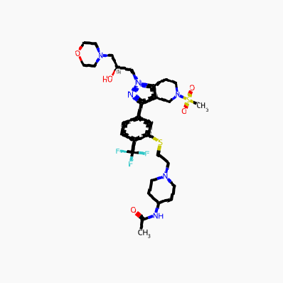 CC(=O)NC1CCN(CCSc2cc(-c3nn(C[C@@H](O)CN4CCOCC4)c4c3CN(S(C)(=O)=O)CC4)ccc2C(F)(F)F)CC1